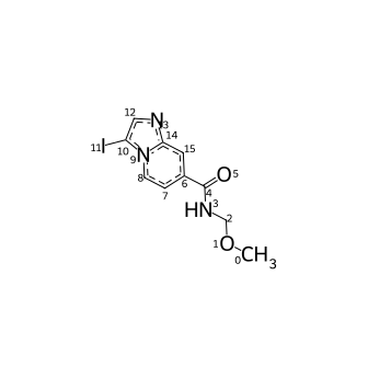 COCNC(=O)c1ccn2c(I)cnc2c1